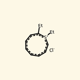 CCc1ccccccc[s+]1CC.[Cl-]